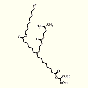 CCCCCCCCC(CCCCCCCC)OC(=O)CCCCCCCN(CCCCCC(=O)OCCCCCCCCC(C)C)CCOC(=O)CCCN(C)C